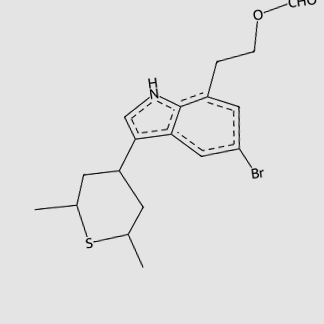 CC1CC(c2c[nH]c3c(CCOC=O)cc(Br)cc23)CC(C)S1